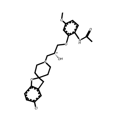 COc1ccc(NC(C)=O)c(OC[C@H](O)CN2CCC3(CC2)Cc2cc(Cl)ccc2O3)c1